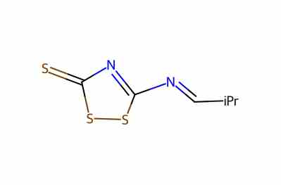 CC(C)/C=N/c1nc(=S)ss1